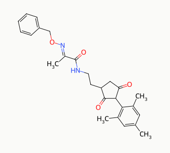 C/C(=N\OCc1ccccc1)C(=O)NCCC1CC(=O)C(c2c(C)cc(C)cc2C)C1=O